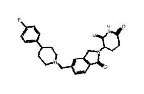 O=C1CCC(N2Cc3cc(CN4CCC(c5ccc(F)cc5)CC4)ccc3C2=O)C(=O)N1